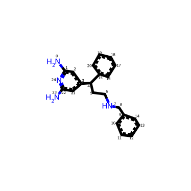 Nc1cc(C(CCNCc2ccccc2)c2ccccc2)cc(N)n1